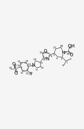 CC(C)C1CC(c2nc(C3CCN(c4ccc(S(C)(=O)=O)cc4F)C3)co2)CCN1C(=O)O